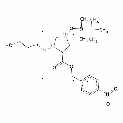 CC(C)(C)[Si](C)(C)O[C@H]1C[C@@H](CSCCO)N(C(=O)OCc2ccc([N+](=O)[O-])cc2)C1